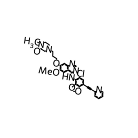 COc1cc2c(Nc3c(Cl)cc(C#Cc4ccccn4)c4c3OCO4)ncnc2cc1OCCCN1CCN(C)C(=O)C1